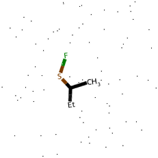 CCC(C)SF